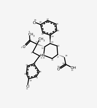 CC(=O)C(C)(CCc1ccc(Cl)cc1)[C@H]1NC[C@@H](CC(=O)O)C[C@@H]1c1cccc(Cl)c1